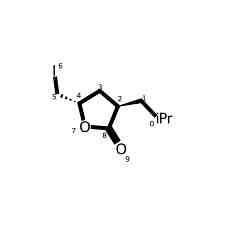 CC(C)C[C@@H]1C[C@@H](CI)OC1=O